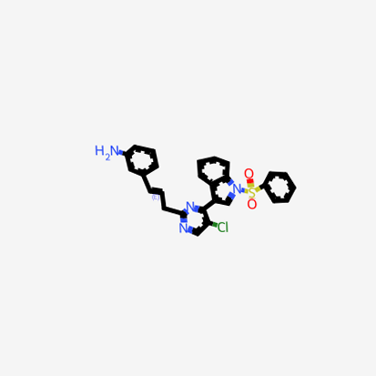 Nc1cccc(/C=C/Cc2ncc(Cl)c(-c3cn(S(=O)(=O)c4ccccc4)c4ccccc34)n2)c1